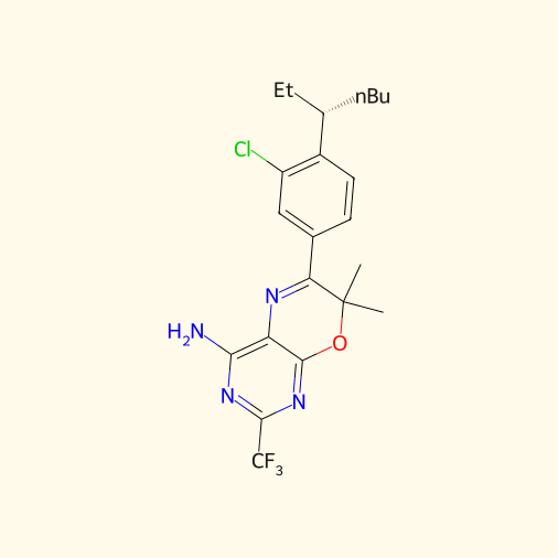 CCCC[C@@H](CC)c1ccc(C2=Nc3c(N)nc(C(F)(F)F)nc3OC2(C)C)cc1Cl